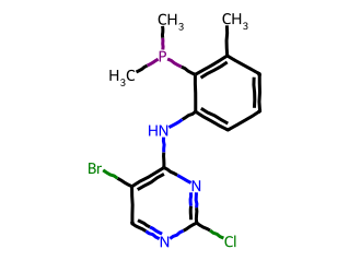 Cc1cccc(Nc2nc(Cl)ncc2Br)c1P(C)C